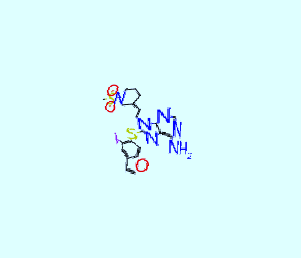 CS(=O)(=O)N1CCCC(CCn2c(Sc3cc4occc4cc3I)nc3c(N)ncnc32)C1